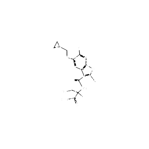 Cc1oc2cc(F)c(OCC3CC3)cc2c1C(=O)NC(C)(CO)C(N)=O